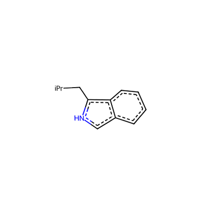 CC(C)Cc1[nH]cc2ccccc12